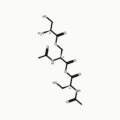 CC(=O)N[C@@H](CS)C(=O)OC(=O)[C@H](COC(=O)[C@@H](N)CS)NC(C)=O